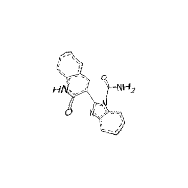 NC(=O)n1c(-c2cc3ccccc3[nH]c2=O)nc2ccccc21